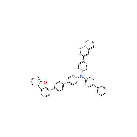 c1ccc(-c2ccc(N(c3ccc(-c4ccc(-c5cccc6c5oc5ccccc56)cc4)cc3)c3ccc(-c4ccc5ccccc5c4)cc3)cc2)cc1